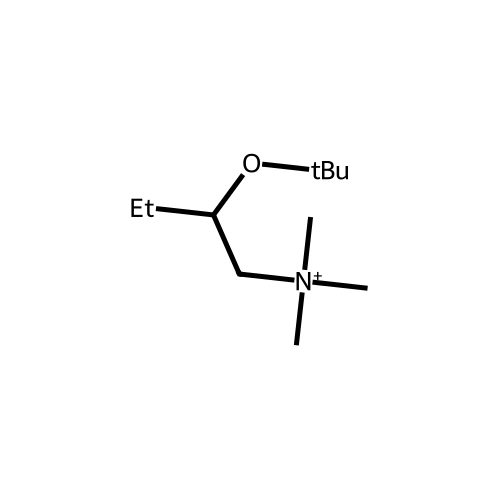 CCC(C[N+](C)(C)C)OC(C)(C)C